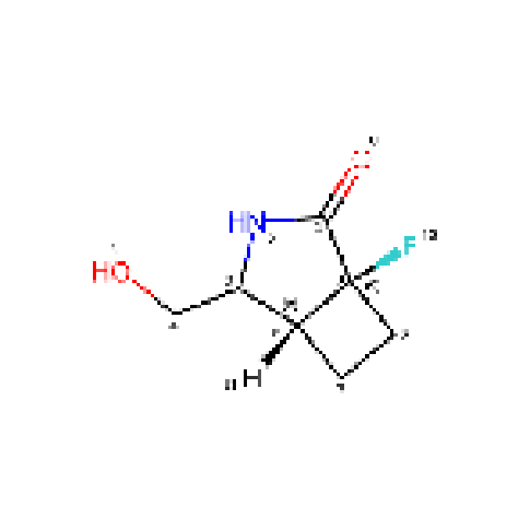 O=C1NC(CO)[C@H]2CC[C@@]12F